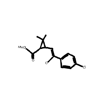 COC(=O)C1C(C=C(Cl)c2ccc(Cl)cc2)C1(C)C